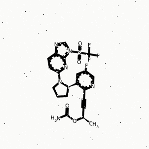 C[C@H](C#Cc1ncc(F)cc1[C@H]1CCCN1c1ccc2ncn(S(=O)(=O)C(F)(F)F)c2n1)OC(N)=O